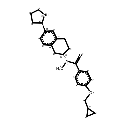 CN(C(=O)c1ccc(OCC2CC2)cc1)[C@H]1CCc2cc([C@H]3CCCN3)ccc2C1